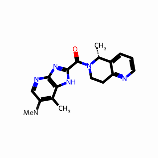 CNc1cnc2nc(C(=O)N3CCc4ncccc4[C@H]3C)[nH]c2c1C